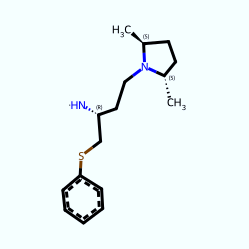 C[C@H]1CC[C@H](C)N1CC[C@@H]([NH])CSc1ccccc1